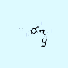 COc1cc([C@@H](C)NC(=O)[C@](C)(O)[C@@H](O)C(=O)N2Cc3cccnc3C2)ccc1Br